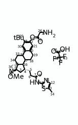 CON=C1C[C@@H](CCC(=O)Nc2ncc(C)s2)C2C3CCc4cc(OC(=O)CN)c(C(C)(C)C)cc4C3CC[C@]12C.O=C(O)C(F)(F)F